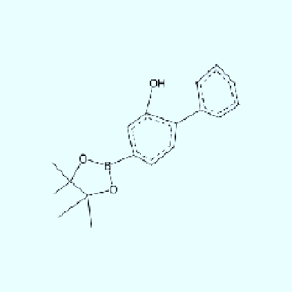 CC1(C)OB(c2ccc(-c3ccccc3)c(O)c2)OC1(C)C